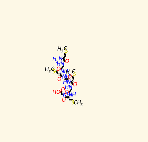 CSCC[C@H](NC(=O)CNC(=O)[C@H](CCSC)NC(=O)CNC(=O)[C@H](CCSC)NC(=O)CNC(=O)[C@@H](N)CCSC)C(=O)NCC(=O)O